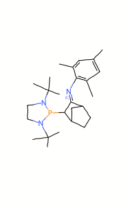 Cc1cc(C)c(/N=C2\C3CCC(C3)C2P2N(C(C)(C)C)CCN2C(C)(C)C)c(C)c1